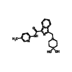 Cc1ccc(NC(=O)c2nc(CN3CCS(O)(O)CC3)c3ccccn23)nc1